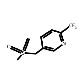 C=S(C)(=O)Cc1ccc(C(F)(F)F)nc1